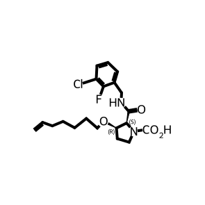 C=CCCCCCO[C@@H]1CCN(C(=O)O)[C@@H]1C(=O)NCc1cccc(Cl)c1F